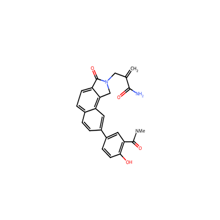 C=C(CN1Cc2c(ccc3ccc(-c4ccc(O)c(C(=O)NC)c4)cc23)C1=O)C(N)=O